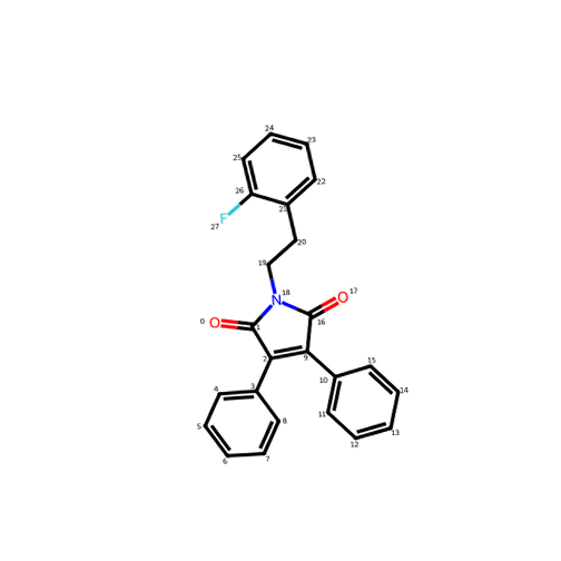 O=C1C(c2ccccc2)=C(c2ccccc2)C(=O)N1CCc1ccccc1F